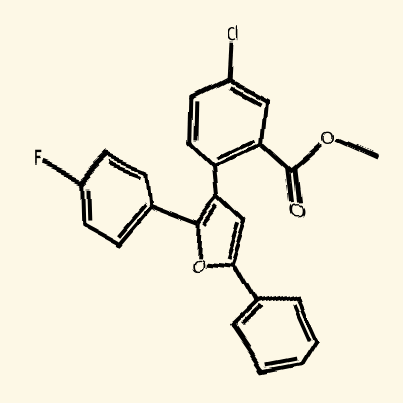 COC(=O)c1cc(Cl)ccc1-c1cc(-c2ccccc2)oc1-c1ccc(F)cc1